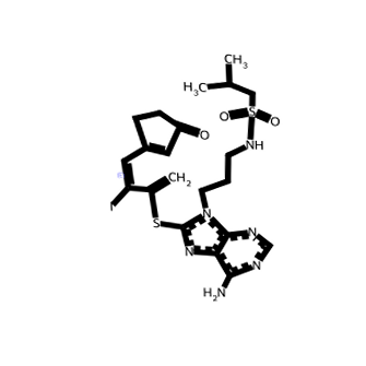 C=C(Sc1nc2c(N)ncnc2n1CCCNS(=O)(=O)CC(C)C)/C(I)=C\C1=CC(=O)CC1